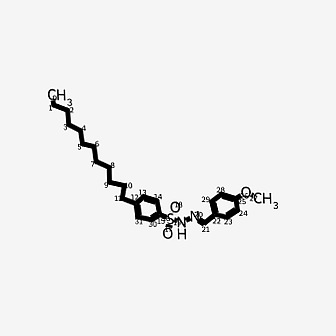 CCCCCCCCCCCCc1ccc(S(=O)(=O)NN=Cc2ccc(OC)cc2)cc1